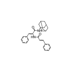 O=C(C=Cc1ccccc1)N/C(=C\c1ccccc1)C(=O)NC12CC3CC(CC(C3)C1)C2